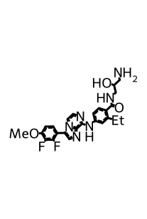 CCc1cc(Nc2nccn3c(-c4ccc(OC)c(F)c4F)cnc23)ccc1C(=O)NCC(O)CN